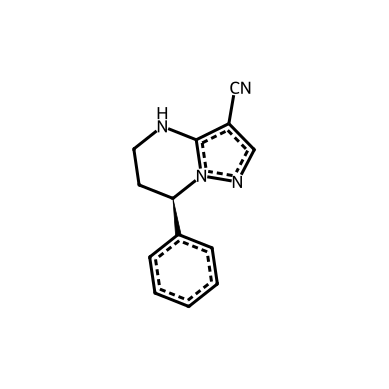 N#Cc1cnn2c1NCC[C@@H]2c1ccccc1